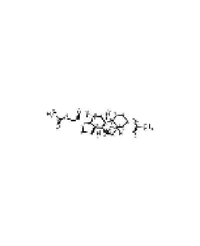 CC(=O)OCC(=O)[C@H]1CC=C2[C@@H]3CC[C@H]4C[C@@H](OC(C)=O)CC[C@]4(CO)[C@H]3CC[C@@]21C